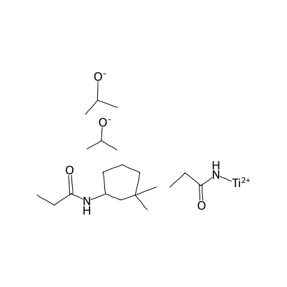 CC(C)[O-].CC(C)[O-].CCC(=O)NC1CCCC(C)(C)C1.CCC(=O)[NH][Ti+2]